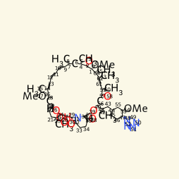 COC1C(=O)C(C)C[C@H](C)/C=C/C=C/C=C(\C)[C@@H](OC)C[C@@H]2CC[C@@H](C)C(O)(O2)C(=O)C(=O)N2CCCC[C@H]2C(=O)O[C@H]([C@H](C)C[C@@H]2CC[C@H](n3cnnn3)[C@H](OC)C2)CC(=O)[C@H](C)/C=C(\C)[C@H]1C